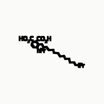 CCCc1ccc(C(=O)O)c(C(=O)O)c1CCCCCCCCCCCCCCC(C)C